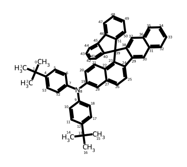 CC(C)(C)c1ccc(N(c2ccc(C(C)(C)C)cc2)c2ccc3c4c(ccc3c2)-c2cc3ccccc3cc2C42c3ccccc3-c3ccccc32)cc1